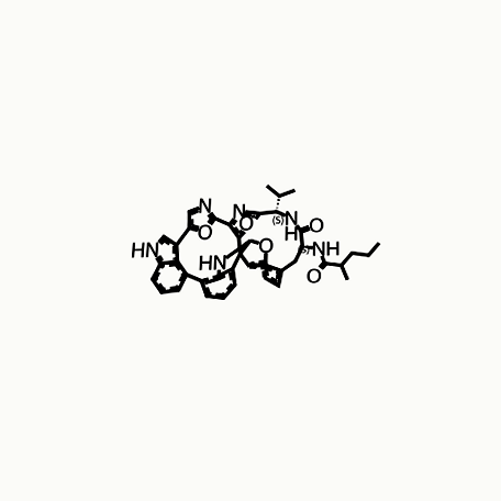 CCCC(C)C(=O)N[C@H]1Cc2ccc3c(c2)C24c5cccc(c5NC2O3)-c2cccc3[nH]cc(c23)-c2cnc(o2)-c2nc(oc24)[C@H](C(C)C)NC1=O